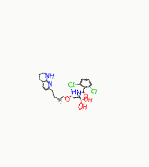 C[C@H](CCc1ccc2c(n1)NCCC2)COCC[C@@H](NC(=O)c1c(Cl)cccc1Cl)C(O)O